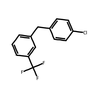 FC(F)(F)c1[c]ccc(Cc2ccc(Cl)cc2)c1